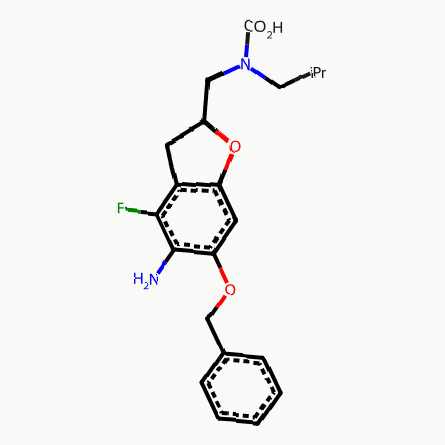 CC(C)CN(CC1Cc2c(cc(OCc3ccccc3)c(N)c2F)O1)C(=O)O